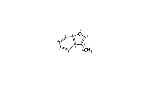 Cc1noc2ccc[c]c12